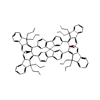 CCCC1(CCC)c2ccccc2-c2cccc(-c3ccc4c(c3)C3(c5cc(-c6cccc7c6C(CCC)(CCC)c6ccccc6-7)ccc5-4)c4cc(-c5cccc6c5C(CCC)(CCC)c5ccccc5-6)ccc4-c4ccc(-c5cccc6c5C(CCC)(CCC)c5ccccc5-6)cc43)c21